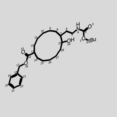 CC(C)(C)OC(=O)NCCC1CCCCCC(C(=O)OCc2ccccc2)CCCCCC1O